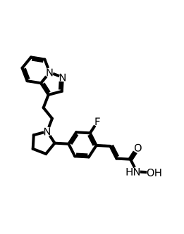 O=C(/C=C/c1ccc(C2CCCN2CCc2cnn3ccccc23)cc1F)NO